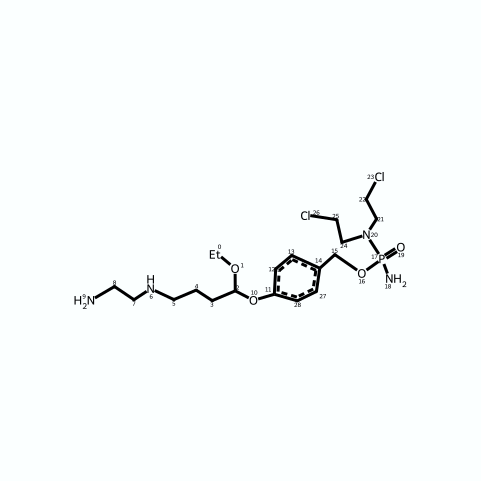 CCOC(CCCNCCN)Oc1ccc(COP(N)(=O)N(CCCl)CCCl)cc1